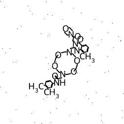 Cc1ccc(NC(=O)CN2CCOCCOCCN(Cc3nc4c(C)cccc4c(=O)n3CC(=O)N3CCOCC3)CCOCCOCC2)cc1C